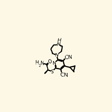 CC(Sc1nc(N2CCCNCC2)c(C#N)c(C2CC2)c1C#N)C(N)=O